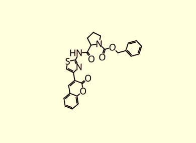 O=C(Nc1nc(-c2cc3ccccc3oc2=O)cs1)C1CCCN1C(=O)OCc1ccccc1